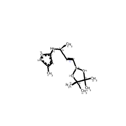 Cc1cc(N[C@@H](C)/C=C/B2OC(C)(C)C(C)(C)O2)on1